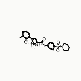 Cc1cccc(-c2cc(C(=O)Nc3ccc(S(=O)(=O)N4CCCCC4)cc3)n[nH]2)c1O